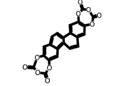 O=c1oc(=O)oc2cc3c(ccc4c5cc6oc(=O)oc(=O)oc6cc5ccc34)cc2o1